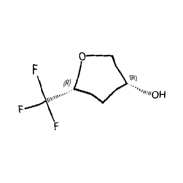 O[C@H]1CO[C@@H](C(F)(F)F)C1